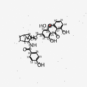 CN1C2CCC1C(NC(=O)c1ccc(O)cc1)C(OCc1cc(O)c(C(=O)c3c(O)cccc3C(=O)O)c(O)c1)C2